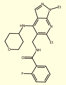 CCc1nc2c(cnn2CC)c(NC2CCOCC2)c1CNC(=O)c1ccccc1F